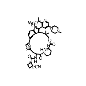 CCn1c(-c2cc(N3CCN(C)CC3)cnc2[C@H](C)OC)c2c3cc(ccc31)-c1csc(n1)C[C@H](NC(=O)[C@H]1CC[C@@H]1C#N)C(=O)N1CCC[C@H](N1)C(=O)OCC(C)(C)C2